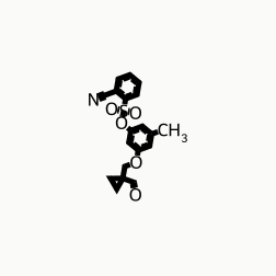 Cc1cc(OCC2(C=O)CC2)cc(OS(=O)(=O)c2ccccc2C#N)c1